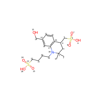 CC1(C)CC(CS(=O)(=O)O)c2ccc(CO)cc2N1CCCCS(=O)(=O)O